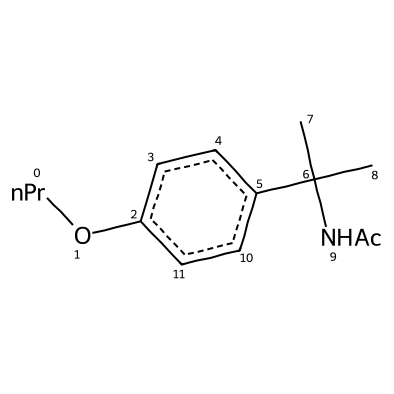 CCCOc1ccc(C(C)(C)NC(C)=O)cc1